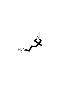 CC1(CCCN)CNC1